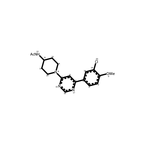 COc1ccc(-c2cc(N3CCC(NC(C)=O)CC3)ncn2)cc1Cl